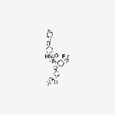 CC(C)(C)OC(=O)N1CC[C@H](Oc2ccc(C(F)(F)F)cc2NC(=O)N[C@H]2CC[C@H](OCc3ccncc3)CC2)C1